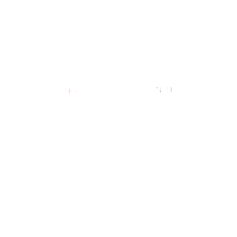 Oc1cccc(-c2ccccc2)c1O.[NaH]